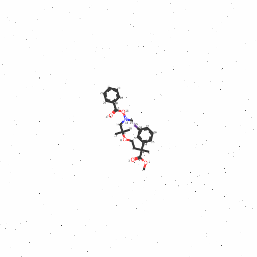 COC(=O)C(C)(CCOC(C)(C)CN(C)OC(=O)c1ccccc1)c1cccc(I)c1